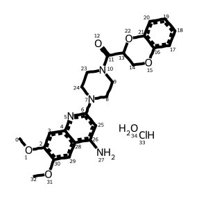 COc1cc2nc(N3CCN(C(=O)C4COc5ccccc5O4)CC3)cc(N)c2cc1OC.Cl.O